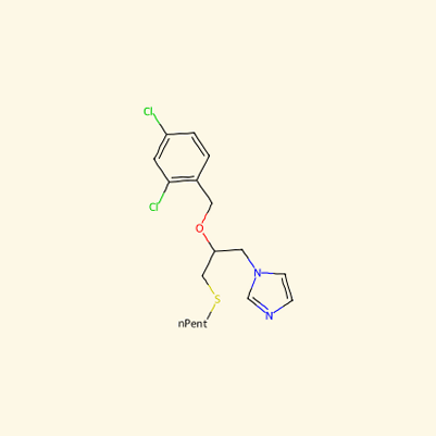 CCCCCSCC(Cn1ccnc1)OCc1ccc(Cl)cc1Cl